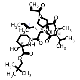 C=CC(=O)N1CCC(O)(C(=O)N(C)[C@H](C(=O)N[C@@H](C/C(C)=C/C)C(=O)N2CCC[C@@](O)(C(=O)OCC(C)(C)C)N2)C(C)C)C1